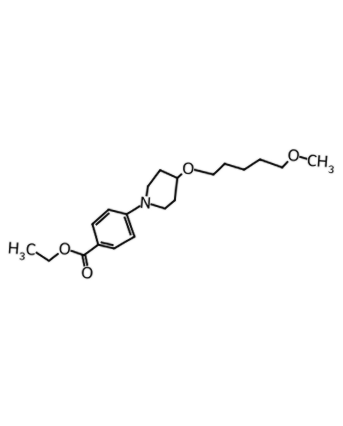 CCOC(=O)c1ccc(N2CCC(OCCCCCOC)CC2)cc1